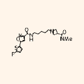 CNC(=O)C1CN(CCCCCNC(=O)c2cc(-c3ccc(F)s3)on2)C1